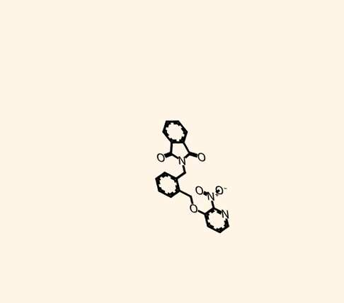 O=C1c2ccccc2C(=O)N1Cc1ccccc1COc1cccnc1[N+](=O)[O-]